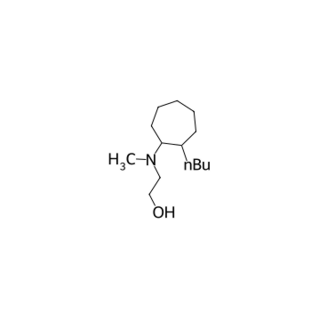 CCCCC1CCCCCC1N(C)CCO